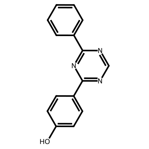 Oc1ccc(-c2ncnc(-c3ccccc3)n2)cc1